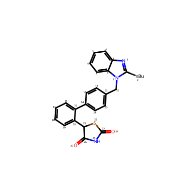 CCCCc1nc2ccccc2n1Cc1ccc(-c2ccccc2C2SC(=O)NC2=O)cc1